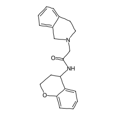 O=C(CN1CCc2ccccc2C1)NC1CCOc2ccccc21